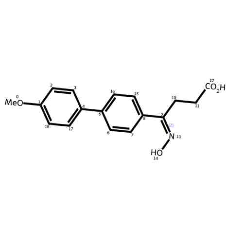 COc1ccc(-c2ccc(/C(CCC(=O)O)=N\O)cc2)cc1